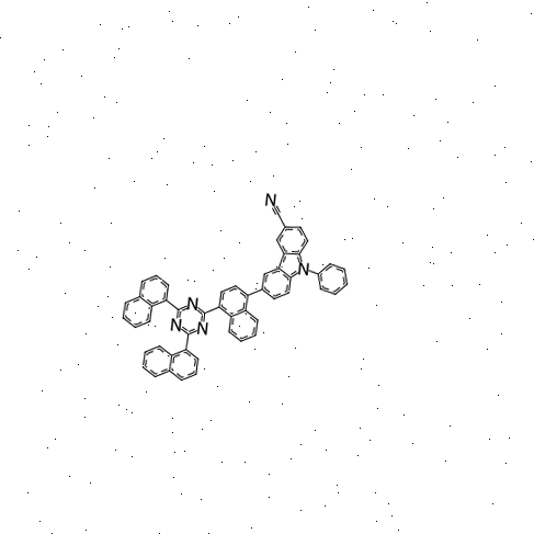 N#Cc1ccc2c(c1)c1cc(-c3ccc(-c4nc(-c5cccc6ccccc56)nc(-c5cccc6ccccc56)n4)c4ccccc34)ccc1n2-c1ccccc1